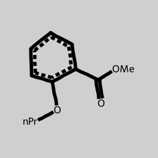 CCCOc1ccccc1C(=O)OC